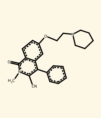 Cn1c(C#N)c(-c2ccccc2)c2cc(OCCN3CCCCC3)ccc2c1=O